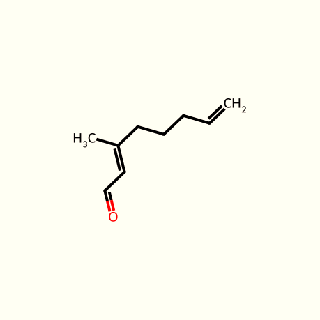 C=CCCCC(C)=CC=O